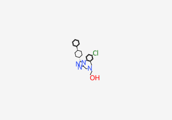 OCCN1Cc2cc(Cl)ccc2-n2c(nnc2[C@H]2CC[C@H](c3ccccc3)CC2)C1